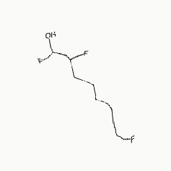 OC(F)C(F)CCCCCF